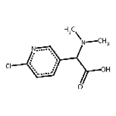 CN(C)C(C(=O)O)c1ccc(Cl)nc1